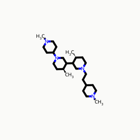 C[C@@H]1CCN(CCC2CCN(C)CC2)CC1C1CN(C2CCN(C)CC2)CC[C@@H]1C